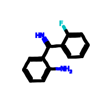 N=C(c1ccccc1N)c1ccccc1F